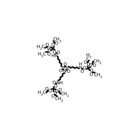 C=CC(=O)OCC(COC(=O)C=C)(COC(=O)C=C)COC(=O)NCCCCCCn1c(=O)n(CCCCCCNC(=O)OCC(COC(=O)C=C)(COC(=O)C=C)COC(=O)C=C)c(=O)n(CCCCCCNC(=O)OCC(COC(=O)C=C)(COC(=O)C=C)COC(=O)C=C)c1=O